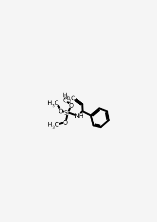 C=CC(N[Si](OC)(OC)OC)c1ccccc1